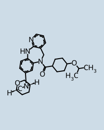 CC(C)OC1CCC(C(=O)N2Cc3cccnc3Nc3ccc(N4C[C@@H]5CC[C@H]4CO5)cc32)CC1